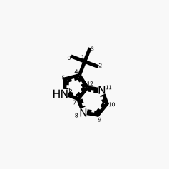 CC(C)(C)c1c[nH]c2nccnc12